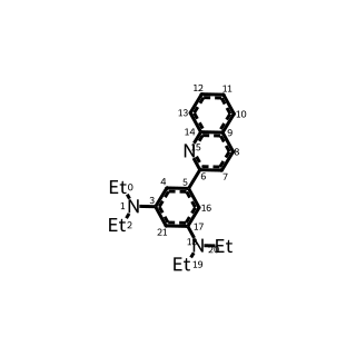 CCN(CC)c1cc(-c2ccc3ccccc3n2)cc(N(CC)CC)c1